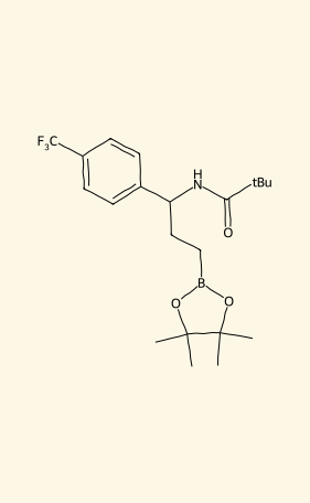 CC(C)(C)C(=O)NC(CCB1OC(C)(C)C(C)(C)O1)c1ccc(C(F)(F)F)cc1